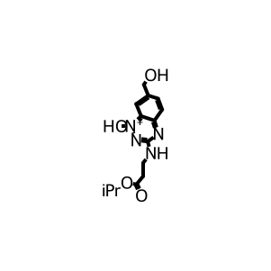 CC(C)OC(=O)CCNc1nc2ccc(CO)cc2[n+](O)n1